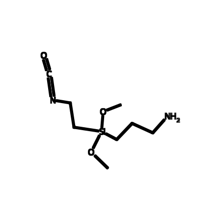 CO[Si](CCCN)(CCN=C=O)OC